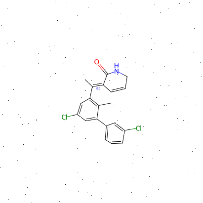 C/C(=C1/C=CCNC1=O)c1cc(Cl)cc(-c2cccc(Cl)c2)c1C